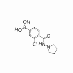 O=C(NN1CCCC1)c1ccc(B(O)O)cc1Cl